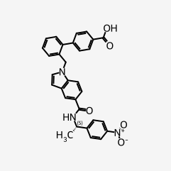 C[C@H](NC(=O)c1ccc2c(ccn2Cc2ccccc2-c2ccc(C(=O)O)cc2)c1)c1ccc([N+](=O)[O-])cc1